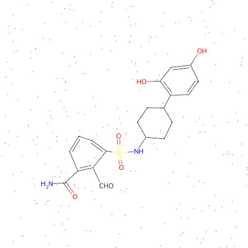 NC(=O)c1cccc(S(=O)(=O)NC2CCC(c3ccc(O)cc3O)CC2)c1C=O